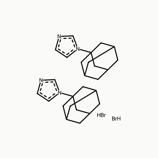 Br.Br.c1cn(C23CC4CC(CC(C4)C2)C3)cn1.c1cn(C23CC4CC(CC(C4)C2)C3)cn1